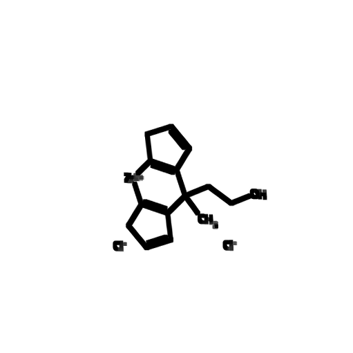 CC1(CCO)C2=[C](CC=C2)[Zr+2][C]2=C1C=CC2.[Cl-].[Cl-]